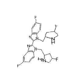 Fc1ccc2c(c1)nc(-c1nc3cc(F)ccc3n1CC1CC(F)CN1)n2CC1CC(F)CN1